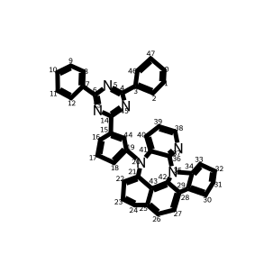 c1ccc(-c2nc(-c3ccccc3)nc(-c3cccc(-n4c5cccc6ccc7c8ccccc8n(c8ncccc84)c7c65)c3)n2)cc1